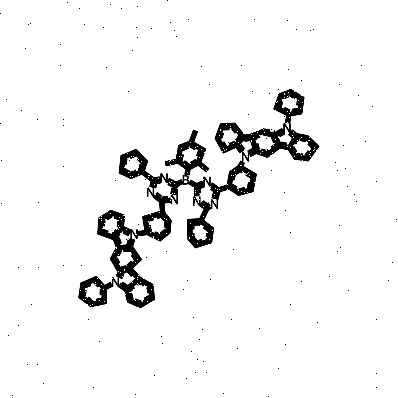 Cc1cc(C)c(B(c2nc(-c3ccccc3)nc(-c3cccc(-n4c5ccccc5c5cc6c(cc54)c4ccccc4n6-c4ccccc4)c3)n2)c2nc(-c3ccccc3)nc(-c3cccc(-n4c5ccccc5c5cc6c(cc54)c4ccccc4n6-c4ccccc4)c3)n2)c(C)c1